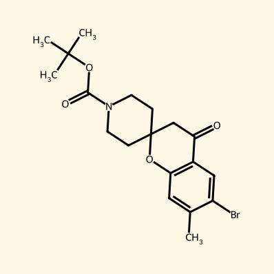 Cc1cc2c(cc1Br)C(=O)CC1(CCN(C(=O)OC(C)(C)C)CC1)O2